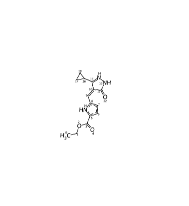 CCOC(=O)c1ccc(/C=C2\C(=O)NN=C2C2CC2)[nH]1